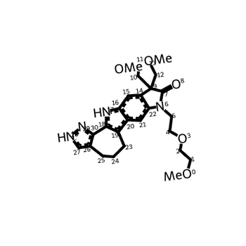 COCCOCCN1C(=O)C(COC)(COC)c2cc3[nH]c4c(c3cc21)CCCc1c[nH]nc1-4